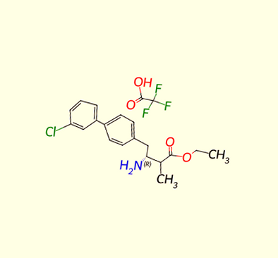 CCOC(=O)C(C)[C@H](N)Cc1ccc(-c2cccc(Cl)c2)cc1.O=C(O)C(F)(F)F